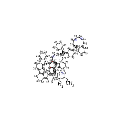 CCC/C=C\c1c(C)c2ccccc2n1-c1cccc(-n2c3ccccc3c3ccc4c5c(n(-c6cccc(N7C/C=C\C8c9ccccc9N(c9cccc(N%10C/C=C\C=C/Cc%11ccccc%11%10)c9)P8Cc8ccccc87)c6)c4c32)C=CCC5)c1